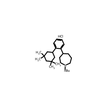 CCCCN1CCCC(c2ccccc2C2CC(C)(C)CC(C)(C)C2)CC1.Cl